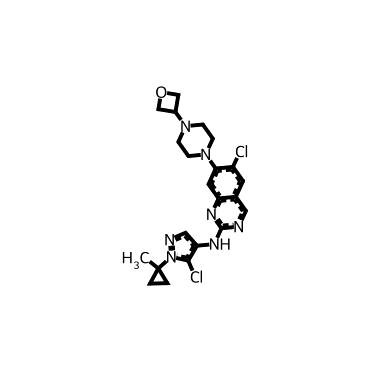 CC1(n2ncc(Nc3ncc4cc(Cl)c(N5CCN(C6COC6)CC5)cc4n3)c2Cl)CC1